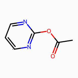 CC(=O)Oc1n[c]ccn1